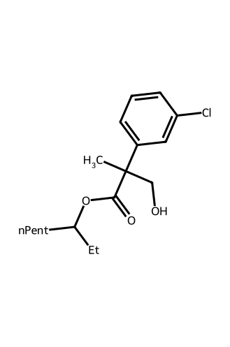 CCCCCC(CC)OC(=O)C(C)(CO)c1cccc(Cl)c1